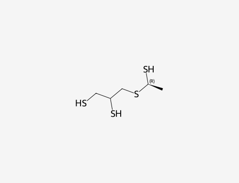 C[C@H](S)SCC(S)CS